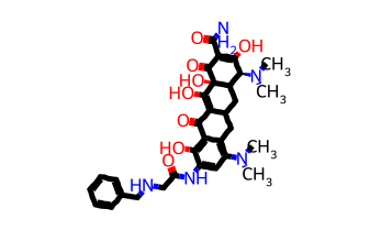 CN(C)c1cc(NC(=O)CNCc2ccccc2)c(O)c2c1CC1CC3[C@H](N(C)C)C(O)=C(C(N)=O)C(=O)[C@@]3(O)C(O)=C1C2=O